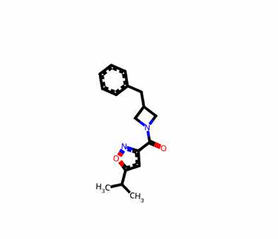 CC(C)c1cc(C(=O)N2CC(Cc3ccccc3)C2)no1